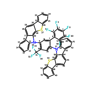 Fc1c(F)c(F)c(-c2cc(-n3c4ccccc4c4ccc5c6ccccc6sc5c43)c(C(F)(F)F)cc2-n2c3ccccc3c3ccc4c5ccccc5sc4c32)c(F)c1F